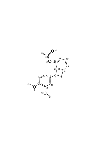 COc1ccc(C2[C]c3cccc(OC(C)=O)c32)cc1OC